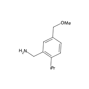 COCc1ccc(C(C)C)c(CN)c1